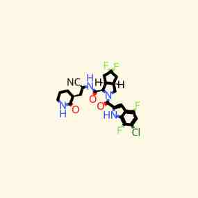 N#C[C@H](C[C@@H]1CCCNC1=O)NC(=O)[C@H]1[C@H]2CC(F)(F)C[C@H]2CN1C(=O)c1cc2c(F)cc(Cl)c(F)c2[nH]1